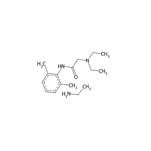 CCN.CCN(CC)CC(=O)Nc1c(C)cccc1C